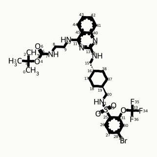 CC(C)(C)OC(=O)NCCNc1nc(NC[C@H]2CC[C@H](CNS(=O)(=O)c3ccc(Br)cc3OC(F)(F)F)CC2)nc2ccccc12